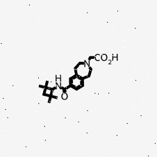 CC1(C)CC(C)(C)C1NC(=O)c1ccc2c(c1)CCN(CC(=O)O)CC2